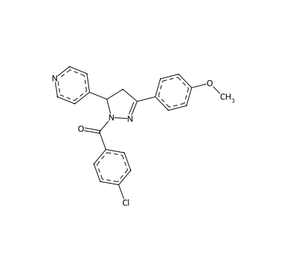 COc1ccc(C2=NN(C(=O)c3ccc(Cl)cc3)C(c3ccncc3)C2)cc1